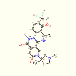 CC(=O)N1CC[C@@](n2cc3c(N[C@H](C)c4cccc5c4OCC5(F)F)nn(C)c(=O)c3cc2=O)(C(F)(F)F)C1